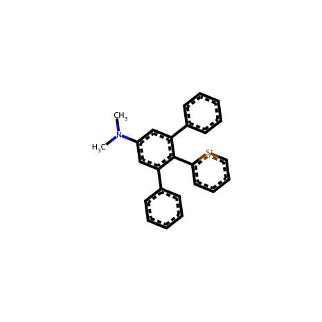 CN(C)c1cc(-c2ccccc2)c(-c2cccc[s+]2)c(-c2ccccc2)c1